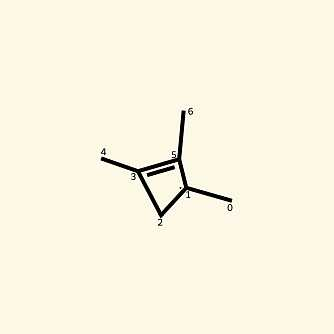 C[C]1CC(C)=C1C